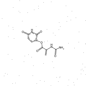 C=C(NC(N)=O)C(=O)On1ccc(=O)[nH]c1=O